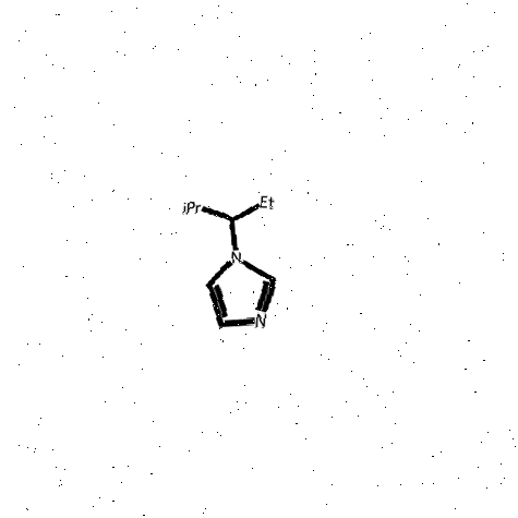 CCC(C(C)C)n1ccnc1